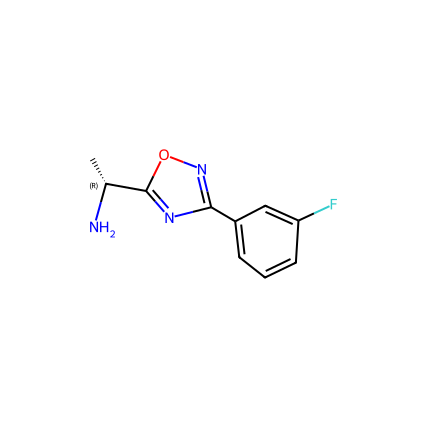 C[C@@H](N)c1nc(-c2cccc(F)c2)no1